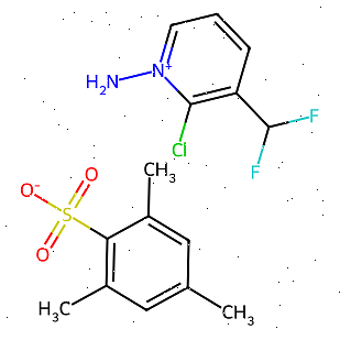 Cc1cc(C)c(S(=O)(=O)[O-])c(C)c1.N[n+]1cccc(C(F)F)c1Cl